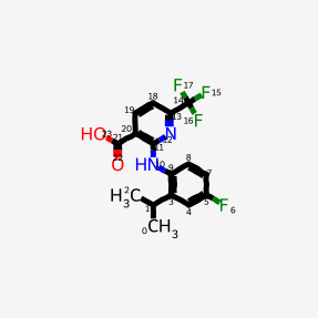 CC(C)c1cc(F)ccc1Nc1nc(C(F)(F)F)ccc1C(=O)O